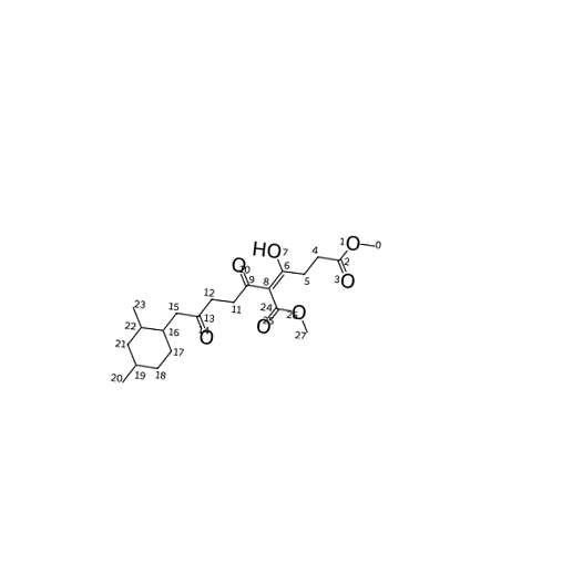 COC(=O)CC/C(O)=C(/C(=O)CCC(=O)CC1CCC(C)CC1C)C(=O)OC